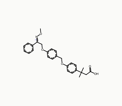 CO/N=C(\COc1ccc(COc2ccc(C(C)(C)CC(=O)O)cc2)cc1)c1ccccc1